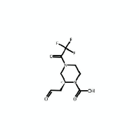 O=CC[C@H]1CN(C(=O)C(F)(F)F)CCN1C(=O)O